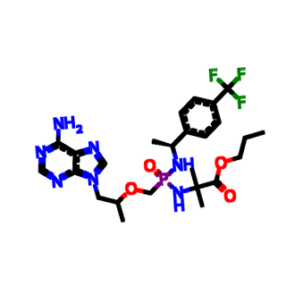 CCCOC(=O)C(C)(C)NP(=O)(COC(C)Cn1cnc2c(N)ncnc21)N[C@@H](C)c1ccc(C(F)(F)F)cc1